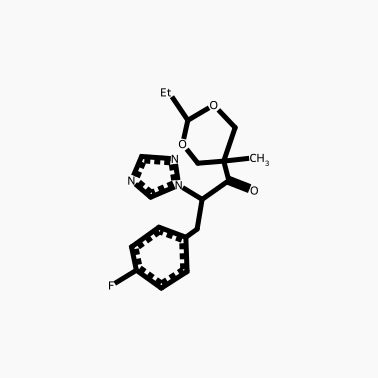 CCC1OCC(C)(C(=O)C(Cc2ccc(F)cc2)n2cncn2)CO1